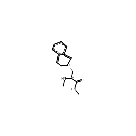 CNC(=O)[C@H](C[C@H]1C=c2ccccc2=CC1)NC